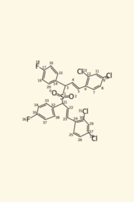 O=S(=O)(C(C=Cc1ccc(Cl)cc1Cl)c1ccc(F)cc1)C(C=Cc1ccc(Cl)cc1Cl)c1ccc(F)cc1